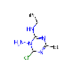 CCC1=NC(Cl)N(N)C(NCC(C)C)=N1